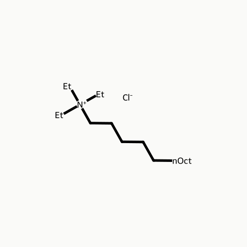 CCCCCCCCCCCCC[N+](CC)(CC)CC.[Cl-]